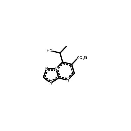 CCOC(=O)c1cnc2ncnn2c1C(C)O